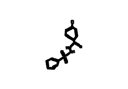 O=C(NNS(=O)(=O)c1ccccc1)c1ccc(Cl)cc1